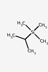 [CH2][Si](C)(C)C(C)C